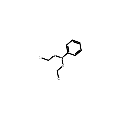 ClCSN(SCCl)c1ccccc1